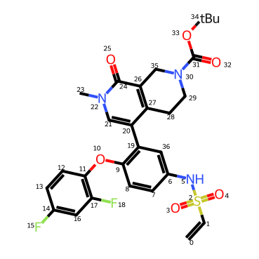 C=CS(=O)(=O)Nc1ccc(Oc2ccc(F)cc2F)c(-c2cn(C)c(=O)c3c2CCN(C(=O)OC(C)(C)C)C3)c1